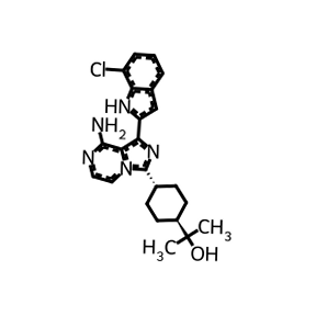 CC(C)(O)[C@H]1CC[C@H](c2nc(-c3cc4cccc(Cl)c4[nH]3)c3c(N)nccn32)CC1